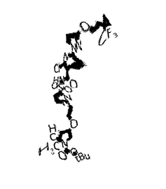 CC(C)(C)OC(=O)N1CC(OCCn2ccc(S(=O)(=O)NC(=O)c3ccc(-n4ccc(OCCC5(C(F)(F)F)CC5)n4)nc3Cl)n2)CC1(C)C